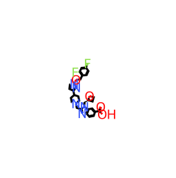 O=C(O)c1ccc2nc(CN3CCC(c4ccn(OCc5ccc(F)cc5F)n4)CC3)n(C[C@@H]3CCO3)c2c1